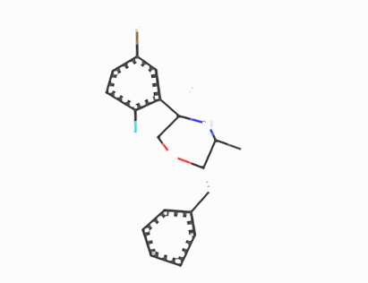 C[C@@]1(c2cc(Br)ccc2F)CO[C@@H](Cc2ccccc2)C(C=O)N1.[Pd]